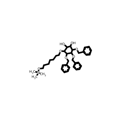 C[Si](C)(C)OCCCCCCCOC1C(O)C(O)C(OCc2ccccc2)C(OCc2ccccc2)C1OCc1ccccc1